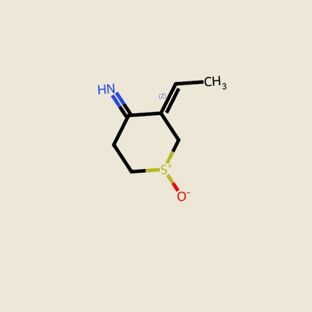 C/C=C1\C[S+]([O-])CCC1=N